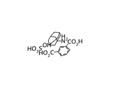 NC12CC3CC(CC(C3)C1)C2.O=C(O)c1cccc(C(=O)O)c1.O=S(=O)(O)O